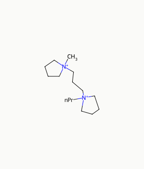 CCC[N+]1(CCC[N+]2(C)CCCC2)CCCC1